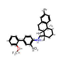 CC(C)c1ccc2c(c1)CC[C@H]1[C@@](C)(CNc3ccc(-c4ccccc4OC(F)(F)F)cc3[N+](=O)[O-])CCC[C@]21C